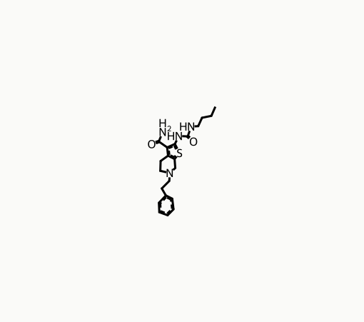 CCCCNC(=O)Nc1sc2c(c1C(N)=O)CCN(CCc1ccccc1)C2